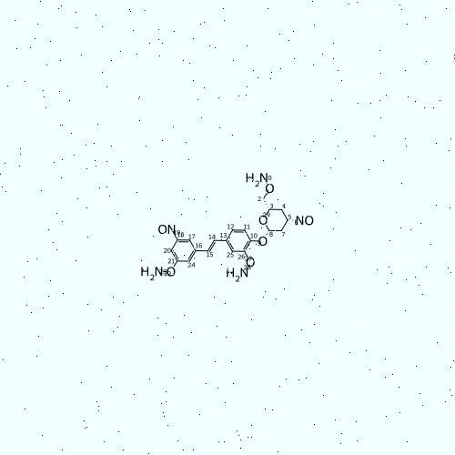 NOC[C@@H]1C[C@H](N=O)C[C@H](Oc2ccc(/C=C/c3cc(N=O)cc(ON)c3)cc2ON)O1